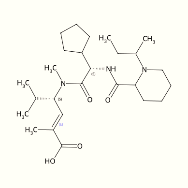 CCC(C)N1CCCCC1C(=O)N[C@H](C(=O)N(C)[C@H](/C=C(\C)C(=O)O)C(C)C)C1CCCC1